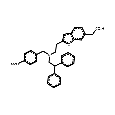 COc1ccc(CN(CCc2cc3ccc(CC(=O)O)cc3o2)CC(c2ccccc2)c2ccccc2)cc1